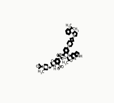 CC(C)c1ccccc1[C@@H]1CCCN1C1CC2(CCN(c3ccc(C(=O)NS(=O)(=O)c4cc5c(c([N+](=O)[O-])c4)N[C@H](CN4CCN(C6COC6)[C@H](C)C4)CO5)c(N4C[C@@H](C)Oc5nc6[nH]ccc6cc54)c3)CC2)C1